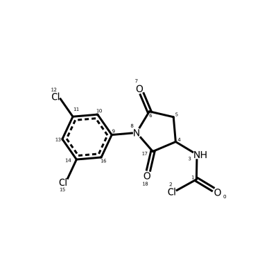 O=C(Cl)NC1CC(=O)N(c2cc(Cl)cc(Cl)c2)C1=O